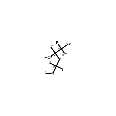 CCC(C)(C)CC(C)(O)C(F)(F)F